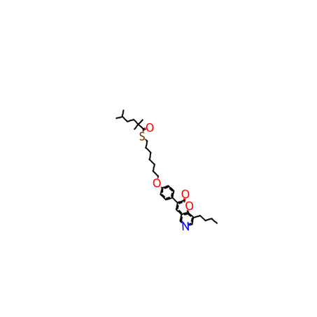 CCCCc1cncc2cc(-c3ccc(OCCCCCCCSC(=O)C(C)(C)CCC(C)C)cc3)c(=O)oc12